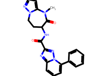 CN1C(=O)C(NC(=O)c2nc3cccc(-c4ccccc4)n3n2)CCn2nccc21